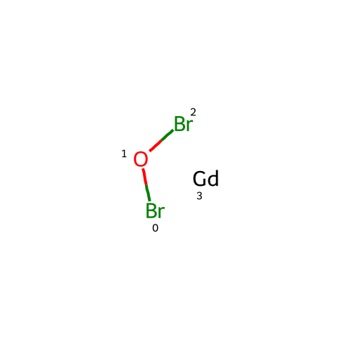 BrOBr.[Gd]